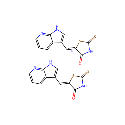 O=C1NC(=S)S/C1=C\c1c[nH]c2ncccc12.O=C1NC(=S)S/C1=C\c1c[nH]c2ncccc12